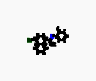 CC/C(=N\c1ccccc1C)c1ccc(Br)c2ccccc12